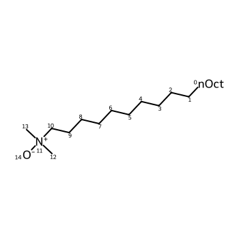 CCCCCCCCCCCCCCCCCC[N+](C)(C)[O-]